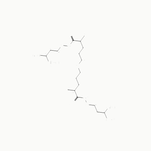 CCCCCC(CCCC)CCSOC(=O)C(C)CCCSCCCC(C)C(=O)OSCCC(CCCC)CCCCC